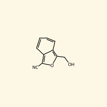 N#Cc1oc(CO)c2ccccc12